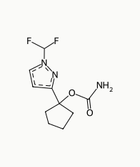 NC(=O)OC1(c2ccn(C(F)F)n2)CCCC1